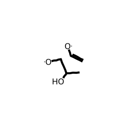 C=C[O].CC(O)C[O]